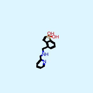 OS1(O)C=Cc2c(CNCc3ccccn3)cccc21